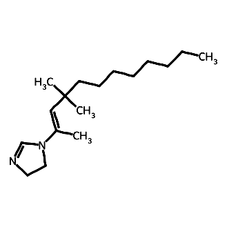 CCCCCCCCC(C)(C)C=C(C)N1C=NCC1